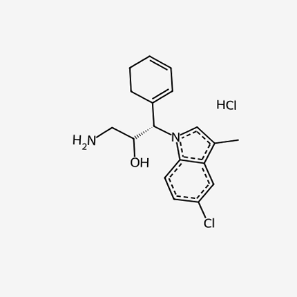 Cc1cn([C@@H](C2=CC=CCC2)C(O)CN)c2ccc(Cl)cc12.Cl